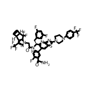 NC(=O)c1cc(-c2cc3sc(N4CCN(c5ccc(C(F)(F)F)cc5)CC4)nc3nc2[C@H](Cc2cc(F)cc(F)c2)NC(=O)Cn2nc(C(F)(F)F)c3c2C(F)(F)[C@@H]2C#C[C@H]32)ccc1F